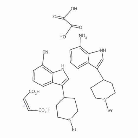 CC(C)N1CCC(c2c[nH]c3c([N+](=O)[O-])cccc23)CC1.CCN1CCC(c2c[nH]c3c(C#N)cccc23)CC1.O=C(O)/C=C\C(=O)O.O=C(O)C(=O)O